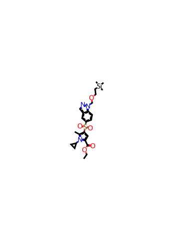 CCOC(=O)c1cc(S(=O)(=O)c2ccc3c(cnn3COCC[Si](C)(C)C)c2)c(C)n1C1CC1